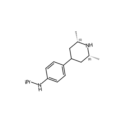 CC(C)Nc1ccc(C2C[C@@H](C)N[C@@H](C)C2)cc1